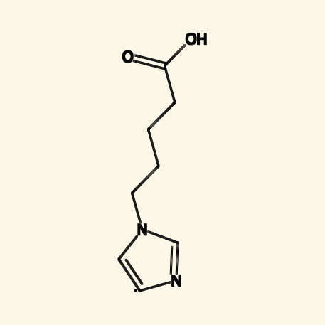 O=C(O)CCCCn1c[c]nc1